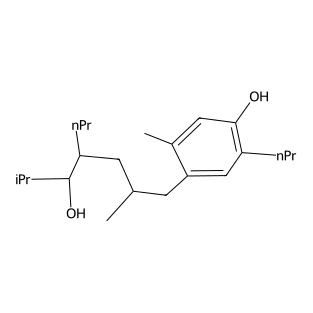 CCCc1cc(CC(C)CC(CCC)C(O)C(C)C)c(C)cc1O